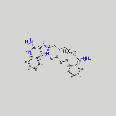 CCCCc1nc2c(N)nc3ccccc3c2n1CCCCc1ccccc1C(N)=O